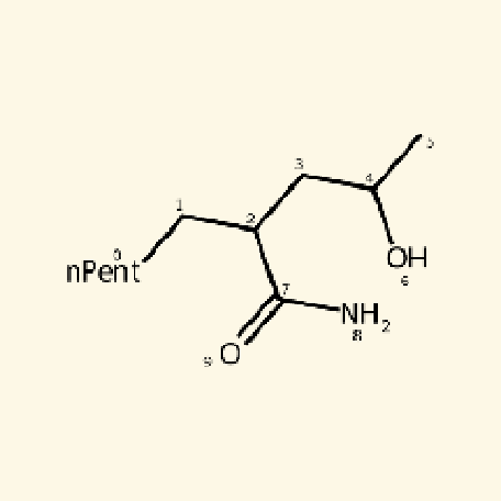 CCCCCCC(CC(C)O)C(N)=O